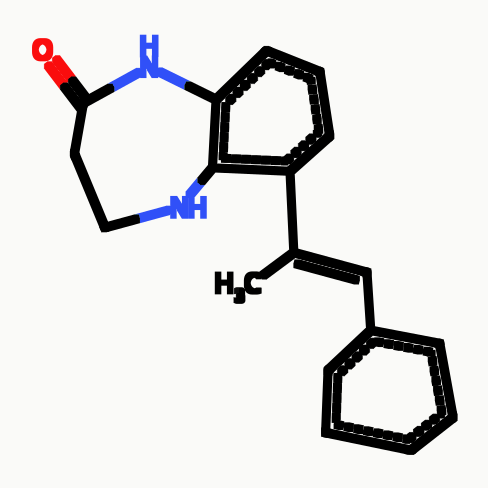 C/C(=C\c1ccccc1)c1cccc2c1NCCC(=O)N2